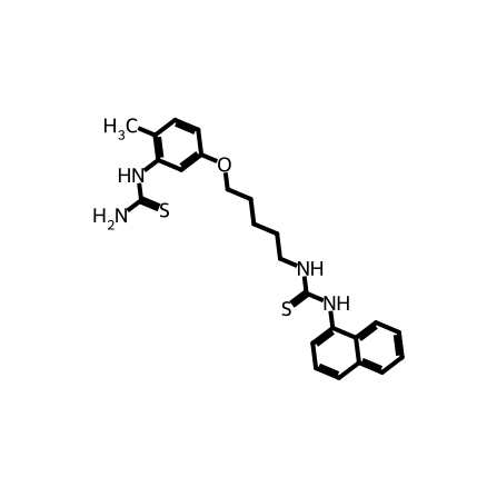 Cc1ccc(OCCCCCNC(=S)Nc2cccc3ccccc23)cc1NC(N)=S